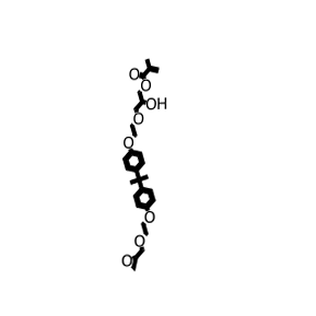 C=C(C)C(=O)OCC(O)COCCOc1ccc(C(C)(C)c2ccc(OCCOCC3CO3)cc2)cc1